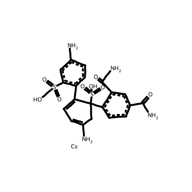 NC(=O)c1ccc(C2(S(=O)(=O)O)CC(N)=CC=C2c2ccc(N)cc2S(=O)(=O)O)c(C(N)=O)c1.[Cs]